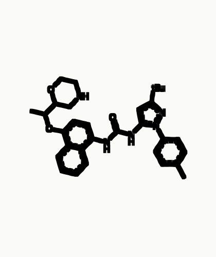 Cc1ccc(-n2nc(C(C)(C)C)cc2NC(=O)Nc2ccc(OC(C)C3CNCCO3)c3ccccc23)cc1